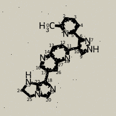 Cc1cccc(-c2n[nH]cc2-c2ccc3ncc(-c4ncn5c4NCC5)cc3n2)n1